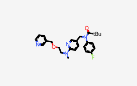 CN(CCOCc1cccnc1)c1ccc(CN(C(=O)C(C)(C)C)c2ccc(F)cc2)cn1